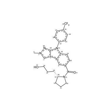 Cn1cc2c3cc(C(=O)N4CCC[C@@H]4CCCO)ccc3n(-c3ccc(C(F)(F)F)cc3)c2n1